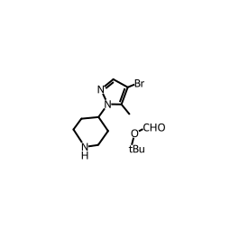 CC(C)(C)OC=O.Cc1c(Br)cnn1C1CCNCC1